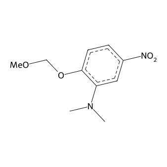 COCOc1ccc([N+](=O)[O-])cc1N(C)C